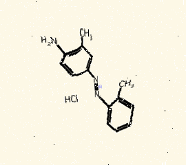 Cc1cc(/N=N/c2ccccc2C)ccc1N.Cl